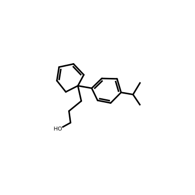 CC(C)c1ccc(C2(CCCO)C=CC=CC2)cc1